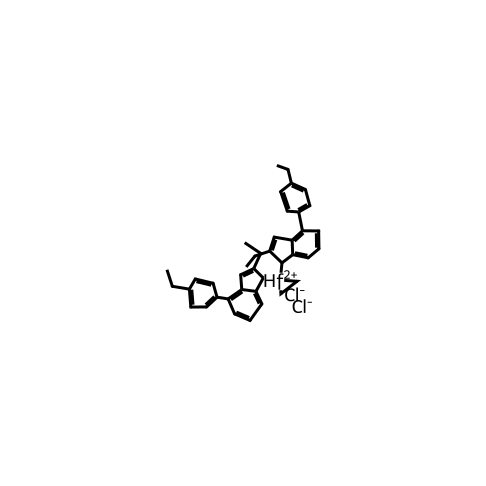 CCC1=Cc2c(-c3ccc(CC)cc3)cccc2[CH]1[Hf+2]1([CH]2C(CC)=Cc3c(-c4ccc(CC)cc4)cccc32)[CH2][CH2]1.[Cl-].[Cl-]